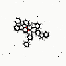 C=CC1=C(C=C)C2(c3ccccc31)c1ccccc1-c1cc(-c3cc(-c4ccccc4)ccc3N(C3=CC=CC4Oc5ccccc5C34)c3ccc4c(c3)C(C)(C)c3ccccc3-4)ccc12